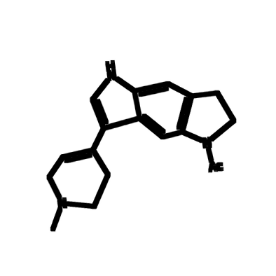 CC(=O)N1CCc2cc3[nH]cc(C4=CCN(C)CC4)c3cc21